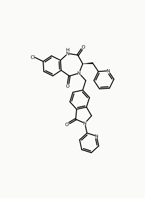 O=C1Nc2cc(Cl)ccc2C(=O)N(Cc2ccc3c(c2)CN(c2ccccn2)C3=O)[C@@H]1Cc1ccccn1